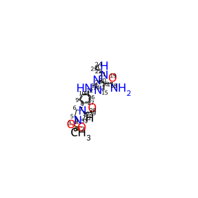 CS(=O)(=O)N1CCN2c3ccc(Nc4ncc(C(N)=O)c(NC5CC5)n4)cc3OC[C@@H]2C1